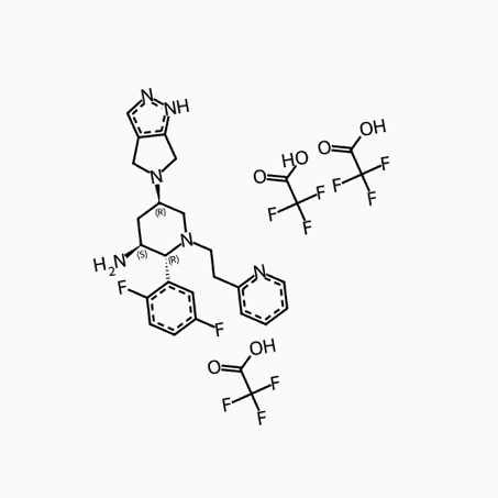 N[C@H]1C[C@@H](N2Cc3cn[nH]c3C2)CN(CCc2ccccn2)[C@@H]1c1cc(F)ccc1F.O=C(O)C(F)(F)F.O=C(O)C(F)(F)F.O=C(O)C(F)(F)F